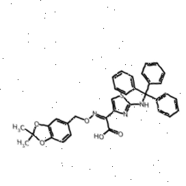 CC1(C)Oc2ccc(CO/N=C(\C(=O)O)c3csc(NC(c4ccccc4)(c4ccccc4)c4ccccc4)n3)cc2O1